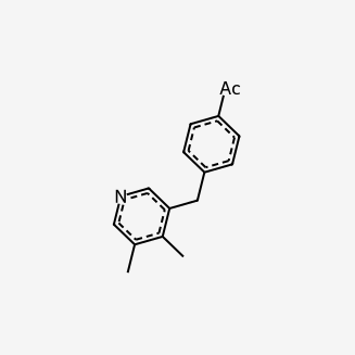 CC(=O)c1ccc(Cc2cncc(C)c2C)cc1